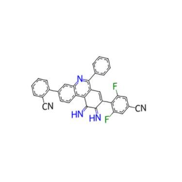 N#Cc1cc(F)c(C2=Cc3c(-c4ccccc4)nc4cc(-c5ccccc5C#N)ccc4c3C(=N)C2=N)c(F)c1